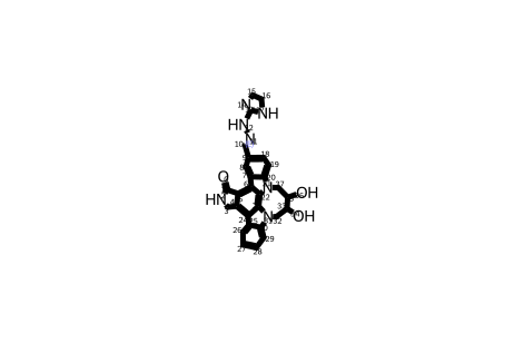 O=C1NCc2c1c1c3cc(/C=N/NC4=NCCN4)ccc3n3c1c1c2c2ccccc2n1CC(O)C(O)C3